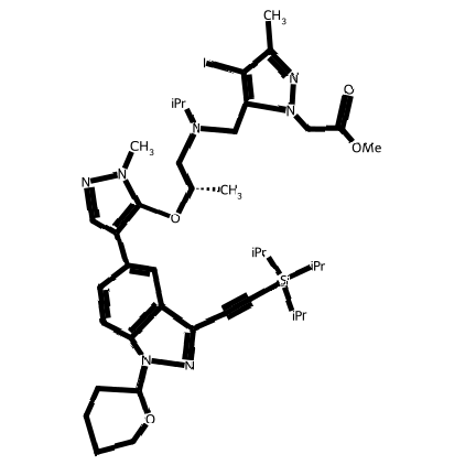 COC(=O)Cn1nc(C)c(I)c1CN(C[C@H](C)Oc1c(-c2ccc3c(c2)c(C#C[Si](C(C)C)(C(C)C)C(C)C)nn3C2CCCCO2)cnn1C)C(C)C